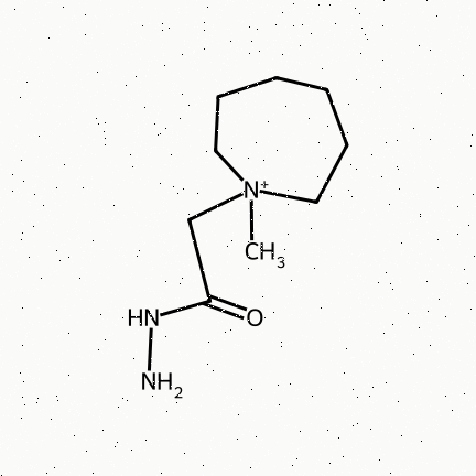 C[N+]1(CC(=O)NN)CCCCCC1